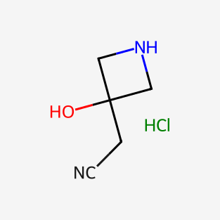 Cl.N#CCC1(O)CNC1